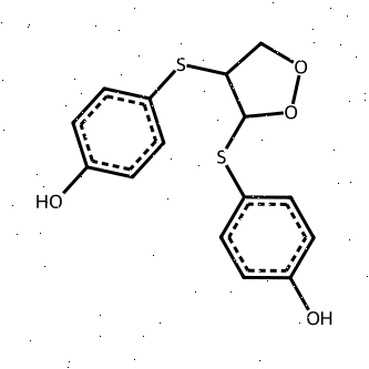 Oc1ccc(SC2COOC2Sc2ccc(O)cc2)cc1